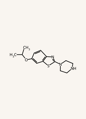 CC(C)Oc1ccc2nc(N3CCNCC3)sc2c1